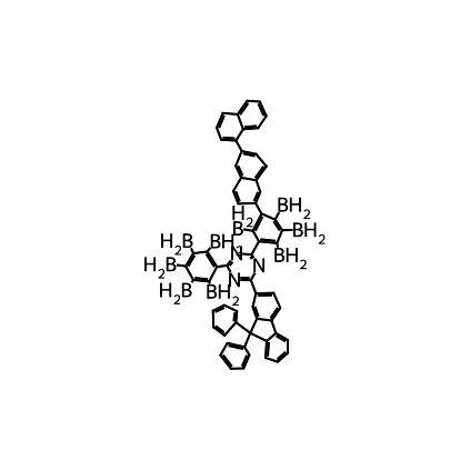 Bc1c(B)c(B)c(-c2nc(-c3ccc4c(c3)C(c3ccccc3)(c3ccccc3)c3ccccc3-4)nc(-c3c(B)c(B)c(B)c(-c4ccc5cc(-c6cccc7ccccc67)ccc5c4)c3B)n2)c(B)c1B